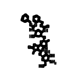 CC1C[C@@H]2OC(O[C@H]3OC(CO)[C@@H](N)[C@H](O)C3O)C3C(OC(=O)N3C)C2O[C@@H]1O[C@H]1CC(O)[C@H](NC(=O)OCc2ccccc2)CC1NC(=O)OCc1ccccc1